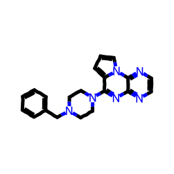 c1ccc(CN2CCN(c3nc4nccnc4n4cccc34)CC2)cc1